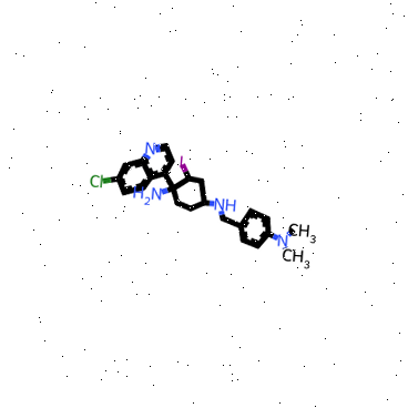 CN(C)c1ccc(CNC2CCC(N)(c3ccnc4cc(Cl)ccc34)C(I)C2)cc1